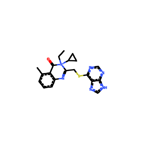 CC[N+]1(C2CC2)C(=O)c2c(C)cccc2N=C1CSc1ncnc2[nH]cnc12